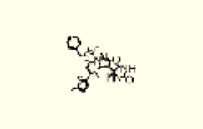 Cc1ccc(-c2cc([S+]([O-])Cc3ccccc3)n3ncc(C4(C)NC(=O)NC4=O)c3n2)s1